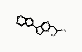 CC(C)Cc1ncc2c(n1)CC=C2c1ccc2ncncc2c1